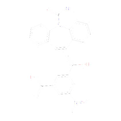 NC(=O)N1c2ccccc2C=Cc2ccccc21.O=C(O)c1cc(C(=O)O)cc([N+](=O)[O-])c1